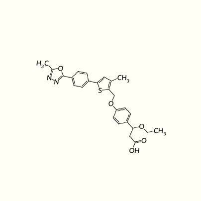 CCOC(CC(=O)O)c1ccc(OCc2sc(-c3ccc(-c4nnc(C)o4)cc3)cc2C)cc1